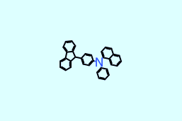 c1ccc(N(c2ccc(C3c4ccccc4-c4ccccc43)cc2)c2cccc3ccccc23)cc1